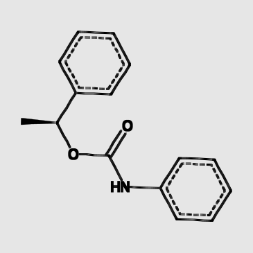 C[C@H](OC(=O)Nc1ccccc1)c1ccccc1